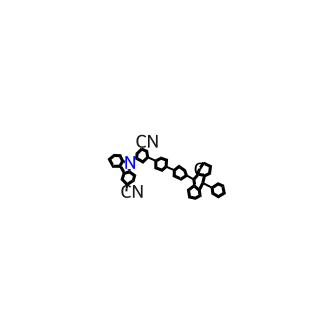 N#Cc1cc(-c2ccc(-c3ccc(-c4c5ccccc5c(-c5ccccc5)c5ccccc45)cc3)cc2)cc(-n2c3ccccc3c3cc(C#N)ccc32)c1